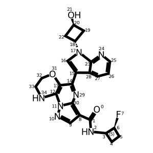 O=C(NC1CC[C@@H]1F)c1cnn2c3c(c(-c4cn([C@H]5C[C@H](O)C5)c5ncccc45)nc12)OCCN3